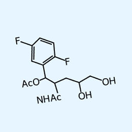 CC(=O)NC(CC(O)CO)C(OC(C)=O)c1cc(F)ccc1F